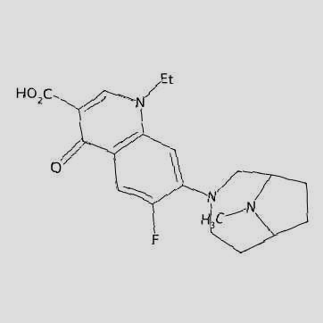 CCn1cc(C(=O)O)c(=O)c2cc(F)c(N3CCC4CCC(C3)N4C)cc21